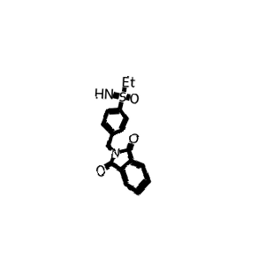 CCS(=N)(=O)c1ccc(CN2C(=O)c3ccccc3C2=O)cc1